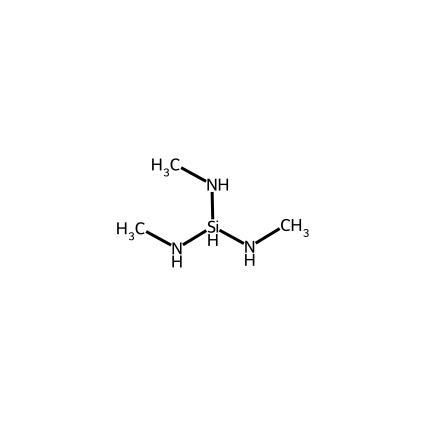 CN[SiH](NC)NC